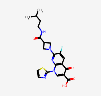 CC(C)CCNC(=O)C1CN(c2nc3c(cc2F)c(=O)c(C(=O)O)cn3-c2nccs2)C1